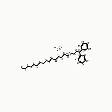 CCCCCCCCCCCCCCCCNCCC(c1ccccc1)c1ccccc1.O